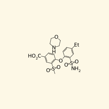 C1COCCN1.CCc1ccc(Oc2ccc(C(=O)O)cc2S(C)(=O)=O)c(S(N)(=O)=O)c1